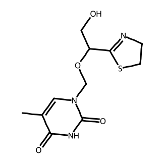 Cc1cn(COC(CO)C2=NCCS2)c(=O)[nH]c1=O